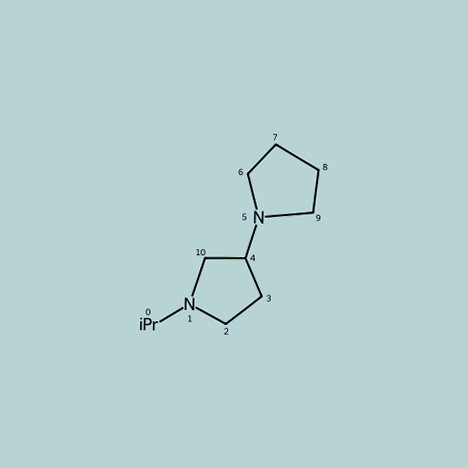 CC(C)N1CCC(N2CCCC2)C1